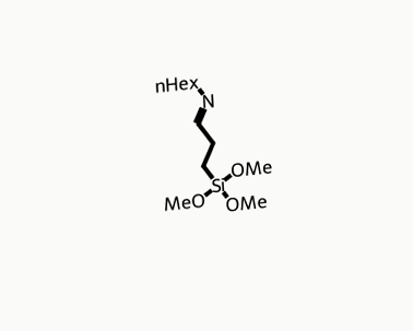 CCCCCCN=CCC[Si](OC)(OC)OC